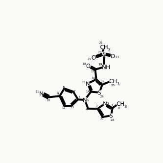 Cc1nc(CN(c2ccc(C#N)cc2)c2nc(C(=O)NS(C)(=O)=O)c(C)s2)cs1